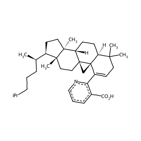 CC(C)CCC[C@@H](C)[C@H]1CC[C@@]2(C)[C@@H]3CC[C@H]4C(C)(C)CC=C(c5ncccc5C(=O)O)[C@@]45C[C@@]35CC[C@]12C